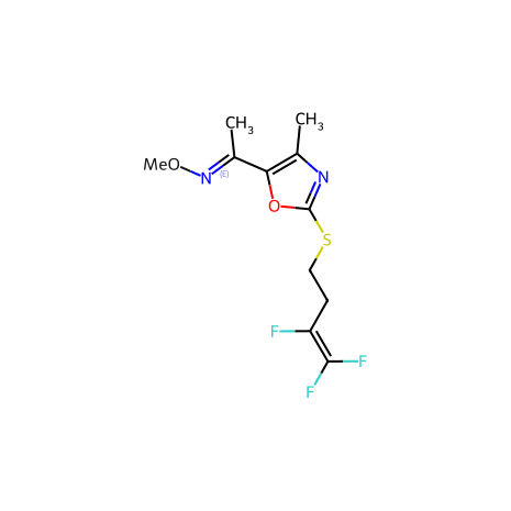 CO/N=C(\C)c1oc(SCCC(F)=C(F)F)nc1C